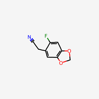 N#CCc1cc2c(cc1F)OCO2